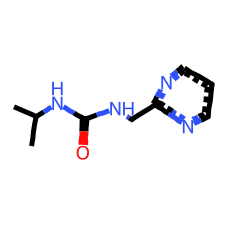 CC(C)NC(=O)NCc1ncccn1